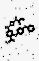 C=CC(=O)N[C@H]1C[C@H](Nc2ncc(C(N)=O)c(Oc3ccc(Oc4ccccc4)cc3)n2)C1